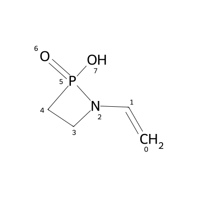 C=CN1CCP1(=O)O